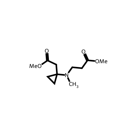 COC(=O)CCN(C)C1(CC(=O)OC)CC1